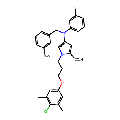 COc1cccc(CN(c2cccc(C)c2)c2cc(C(=O)O)n(CCCOc3cc(C)c(Cl)c(C)c3)c2)c1